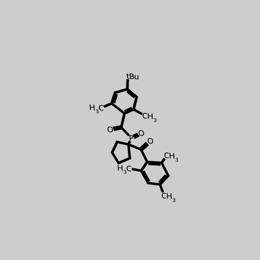 Cc1cc(C)c(C(=O)C2([P](=O)C(=O)c3c(C)cc(C(C)(C)C)cc3C)CCCC2)c(C)c1